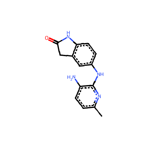 Cc1ccc(N)c(Nc2ccc3c(c2)CC(=O)N3)n1